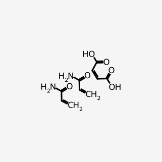 C=CC(N)=O.C=CC(N)=O.O=C(O)/C=C\C(=O)O